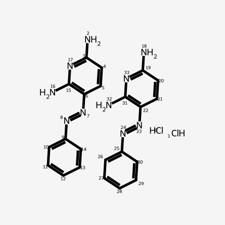 Cl.Cl.Nc1ccc(/N=N/c2ccccc2)c(N)n1.Nc1ccc(/N=N/c2ccccc2)c(N)n1